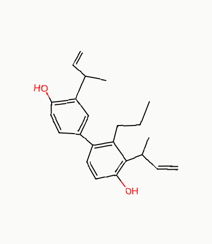 C=CC(C)c1cc(-c2ccc(O)c(C(C)C=C)c2CCC)ccc1O